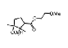 COCCOC(=O)C1CCC(C)(C(=O)O)C1(C)C